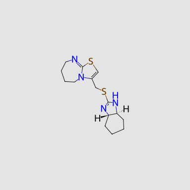 C1=C(CSC2=N[C@H]3CCCC[C@@H]3N2)N2CCCCN=C2S1